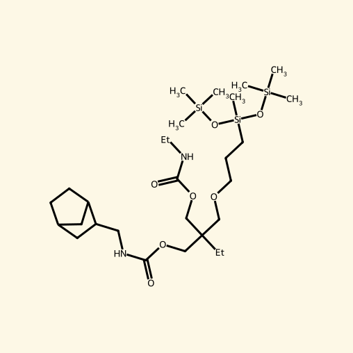 CCNC(=O)OCC(CC)(COCCC[Si](C)(O[Si](C)(C)C)O[Si](C)(C)C)COC(=O)NCC1CC2CCC1C2